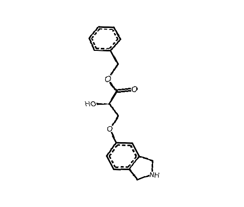 O=C(OCc1ccccc1)[C@H](O)COc1ccc2c(c1)CNC2